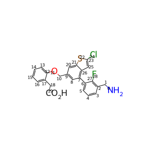 NCc1cccc(-c2cc(COc3ccccc3CC(=O)O)cc3sc(Cl)cc23)c1F